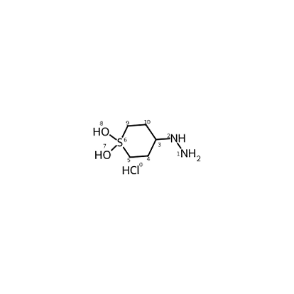 Cl.NNC1CCS(O)(O)CC1